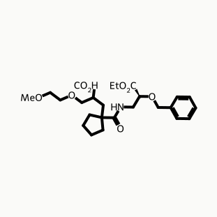 CCOC(=O)[C@H](CNC(=O)C1(CC(COCCOC)C(=O)O)CCCC1)OCc1ccccc1